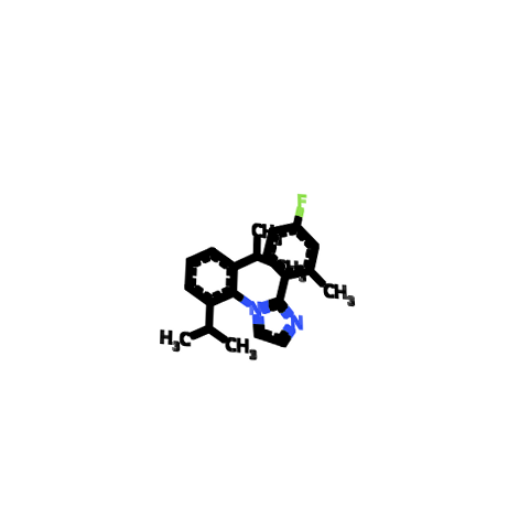 Cc1cc(F)ccc1-c1nccn1-c1c(C(C)C)cccc1C(C)C